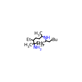 CCC(C)CC(C)NC(C)CCC(CC)C(C)(C)N